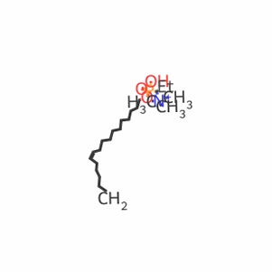 C=CCCCC/C=C\CCCCCCCCCCOP(=O)(O)C(CC)[N+](C)(C)C